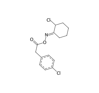 O=C(Cc1ccc(Cl)cc1)ON=C1CCCCC1Cl